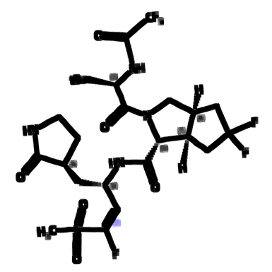 CC(C)(C)[C@@H](NC(=O)C(F)(F)F)C(=O)N1C[C@H]2CC(F)(F)C[C@H]2[C@@H]1C(=O)N[C@H](/C=C(/F)S(C)(=O)=O)C[C@@H]1CCNC1=O